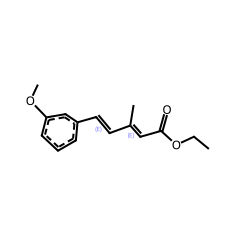 CCOC(=O)/C=C(C)/C=C/c1cccc(OC)c1